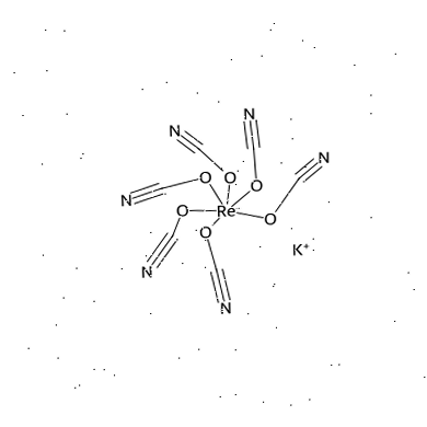 N#C[O][Re-]([O]C#N)([O]C#N)([O]C#N)([O]C#N)[O]C#N.[K+]